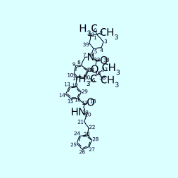 CC1(C)CCC(N(Cc2ccc(-c3cccc(C(=O)NCCCc4ccccc4)c3)cc2)C(=O)OC(C)(C)C)CC1